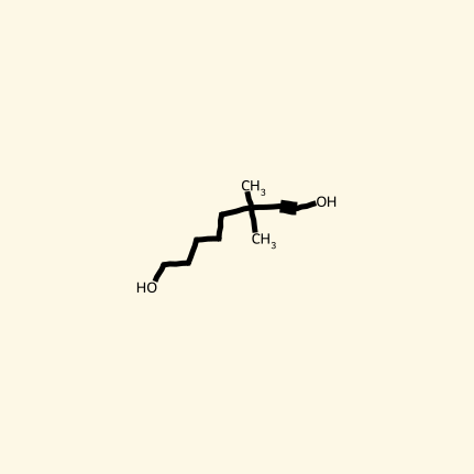 CC(C)(C#CO)CCCCCO